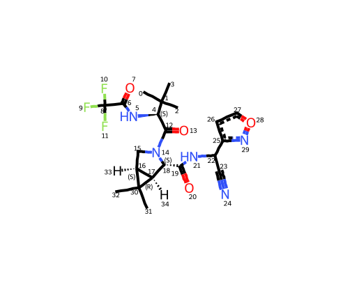 CC(C)(C)[C@H](NC(=O)C(F)(F)F)C(=O)N1C[C@H]2[C@@H]([C@H]1C(=O)NC(C#N)c1ccon1)C2(C)C